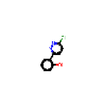 Oc1ccccc1-c1ccc(Cl)nn1